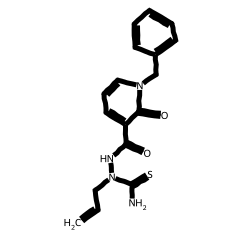 C=CCN(NC(=O)c1cccn(Cc2ccccc2)c1=O)C(N)=S